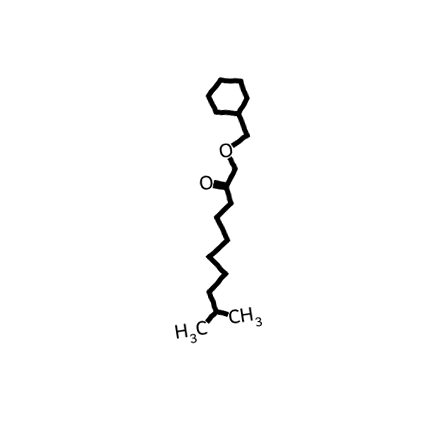 CC(C)CCCCCCC(=O)COCC1CCCCC1